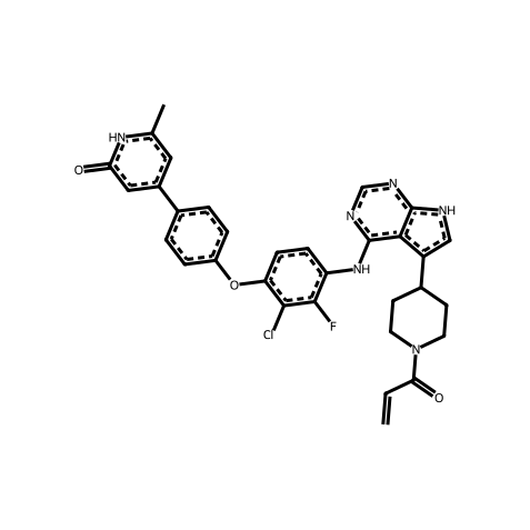 C=CC(=O)N1CCC(c2c[nH]c3ncnc(Nc4ccc(Oc5ccc(-c6cc(C)[nH]c(=O)c6)cc5)c(Cl)c4F)c23)CC1